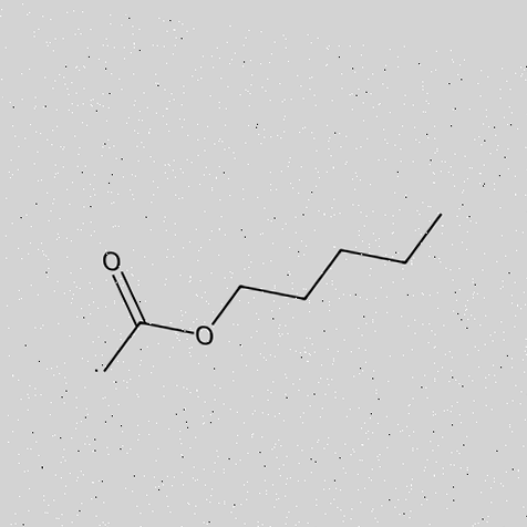 [CH2]C(=O)OCCCCC